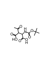 CC(=O)C(C(=O)O)C(NC(=O)OC(C)(C)C)C(=O)O